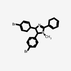 CN1C(C2=CC=CCC2)=NC(C2C=CC(Br)=CC2)C1c1ccc(Br)cc1